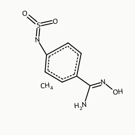 C.NC(=NO)c1ccc(N=S(=O)=O)cc1